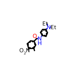 CCN(CC)c1ccc(NC(=O)c2ccc([N+](=O)[O-])c(C)c2)cc1